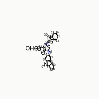 CN1c2ccc(/C=c3/s/c(=C\c4sc5ccccc5[n+]4C)n(COC=O)c3=O)cc2C2CCCC21